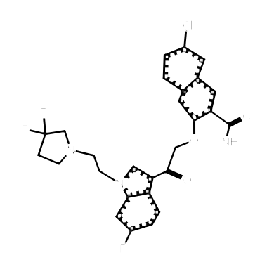 NC(=O)c1cc2cc(Cl)ccc2cc1OCC(=O)c1cn(CCN2CCC(F)(F)C2)c2cc(F)ccc12